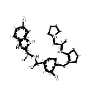 C/C(CN1CCCC1)=N\C1=C(Cc2ccc(C(=O)N[C@@H](C)c3nc4cc(Cl)ccc4[nH]3)cc2Cl)CCC1